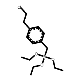 CCO[Si](Cc1ccc(CCCl)cc1)(OCC)OCC